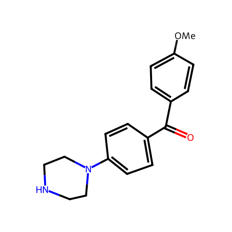 COc1ccc(C(=O)c2ccc(N3CCNCC3)cc2)cc1